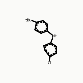 CC(C)(C)c1ccc(Nc2ccc(Cl)cc2)cc1